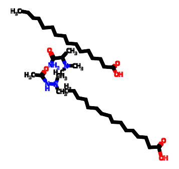 CC(=O)NN(C)C.CC(C(N)=O)N(C)C.CCCCCCCCCCCCCCCC(=O)O.CCCCCCCCCCCCCCCC(=O)O